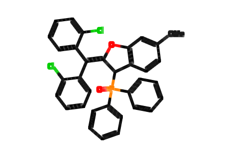 COc1ccc2c(c1)OC(=C(c1ccccc1Cl)c1ccccc1Cl)C2P(=O)(c1ccccc1)c1ccccc1